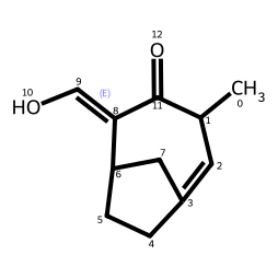 CC1C=C2CCC(C2)/C(=C\O)C1=O